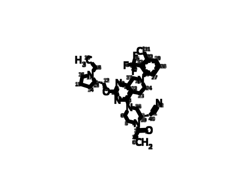 C=CC(=O)N1CCN(c2nc(OC[C@@H]3CCCN3CC)nc3c2CCN(c2cccc(Cl)c2C(F)(F)F)C3)C[C@@H]1CC#N